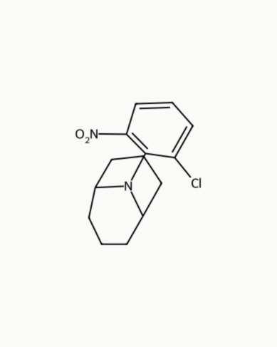 O=[N+]([O-])c1cccc(Cl)c1N1C2CCCC1CCC2